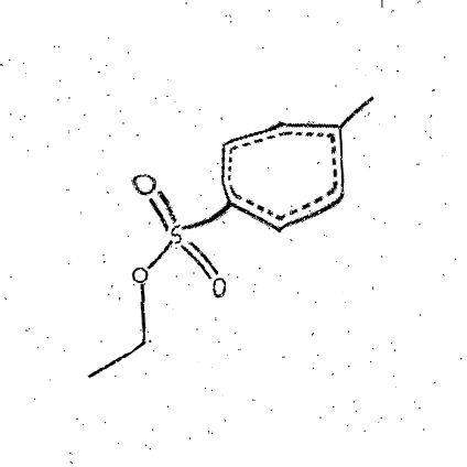 C[CH]OS(=O)(=O)c1ccc(C)cc1